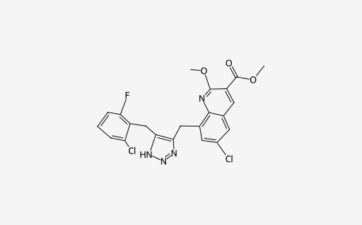 COC(=O)c1cc2cc(Cl)cc(Cc3nn[nH]c3Cc3c(F)cccc3Cl)c2nc1OC